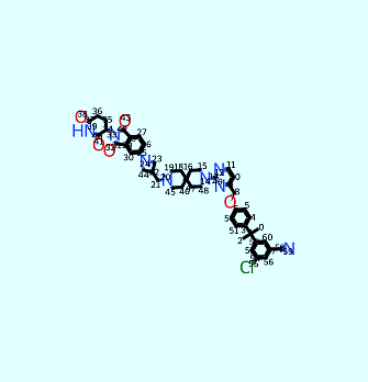 CC(C)(c1ccc(OCc2ccnc(N3CCC4(CCN(CC5CN(c6ccc7c(c6)C(=O)N(C6CCC(=O)NC6=O)C7=O)C5)CC4)CC3)n2)cc1)c1cc(Cl)cc(C#N)c1